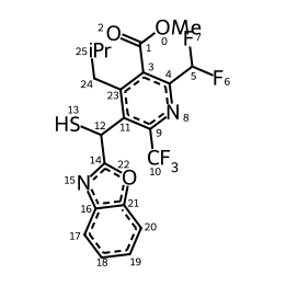 COC(=O)c1c(C(F)F)nc(C(F)(F)F)c(C(S)c2nc3ccccc3o2)c1CC(C)C